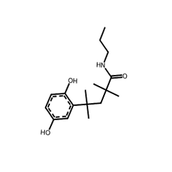 CCCNC(=O)C(C)(C)CC(C)(C)c1cc(O)ccc1O